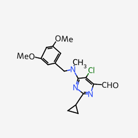 COc1cc(CN(C)c2nc(C3CC3)nc(C=O)c2Cl)cc(OC)c1